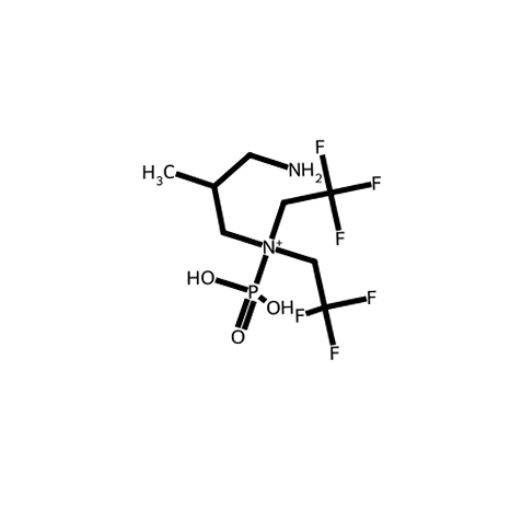 CC(CN)C[N+](CC(F)(F)F)(CC(F)(F)F)P(=O)(O)O